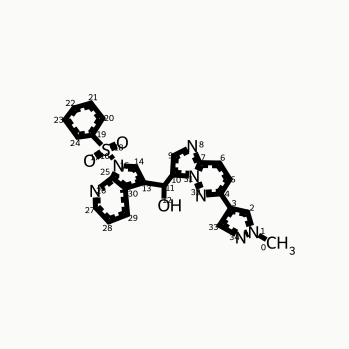 Cn1cc(-c2ccc3ncc(C(O)c4cn(S(=O)(=O)c5ccccc5)c5ncccc45)n3n2)cn1